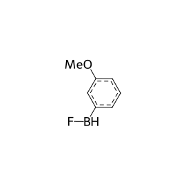 COc1cccc(BF)c1